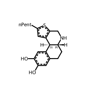 CCCCCc1cc2c(s1)CN[C@@H]1CCc3cc(O)c(O)cc3[C@@H]21